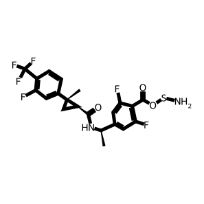 C[C@@H](NC(=O)[C@H]1C[C@]1(C)c1ccc(C(F)(F)F)c(F)c1)c1cc(F)c(C(=O)OSN)c(F)c1